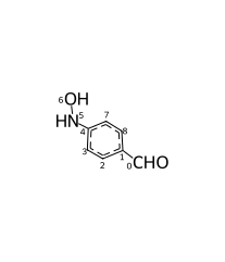 O=Cc1ccc(NO)cc1